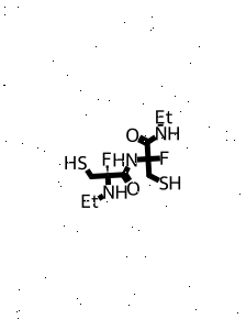 CCNC(=O)C(F)(CS)NC(=O)[C@](F)(CS)NCC